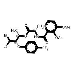 CCC(CC)[C@@H](Oc1ccc(C(F)(F)F)cc1)[C@H](C)OC(=O)[C@H](C)NC(=O)c1nccc(OC)c1OC(C)=O